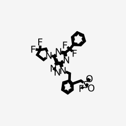 O=S(=O)(F)Cc1ccccc1Cn1nnc2c(N3CCC(F)(F)C3)nc(C(F)(F)c3ccccc3)nc21